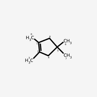 CC1=C(C)CC(C)(C)C1